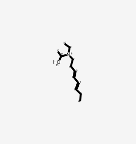 CC/C=C/C=C/CCN(CC)C(C)O